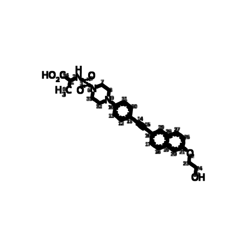 CC(NS(=O)(=O)N1CCN(c2ccc(C#Cc3ccc4cc(OCCO)ccc4c3)cc2)CC1)C(=O)O